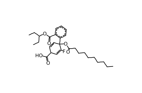 CCCCCCCCCC(=O)OC1(c2ccccc2C(=O)OC(CC)CC)C=CC(C(=O)O)C=C1F